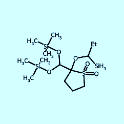 CCC([SiH3])OC1(C(O[Si](C)(C)C)O[Si](C)(C)C)CCCS1(=O)=O